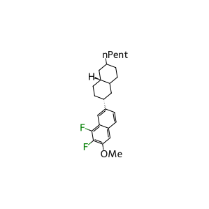 CCCCCC1CCC2C[C@H](c3ccc4cc(OC)c(F)c(F)c4c3)CC[C@@H]2C1